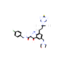 Cn1nc(C(=O)NCc2ccc(Cl)cc2)c(=O)c2cc(CN3CCOCC3)cc(CCC(C)(C)N3CNC(=S)NC3)c21